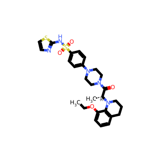 CCOc1cccc2c1N([C@H](C)C(=O)N1CCN(c3ccc(S(=O)(=O)Nc4nccs4)cc3)CC1)CCC2